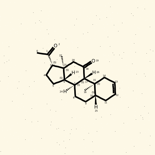 CC(=O)[C@H]1CC[C@H]2[C@@H]3CC[C@H]4CC=CC[C@]4(C)[C@H]3C(=O)C[C@]12C